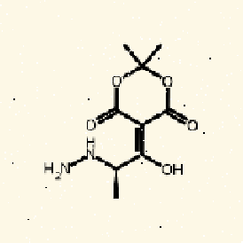 C[C@@H](NN)C(O)=C1C(=O)OC(C)(C)OC1=O